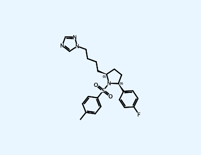 Cc1ccc(S(=O)(=O)N2[C@@H](CCCCn3cncn3)CC[C@H]2c2ccc(F)cc2)cc1